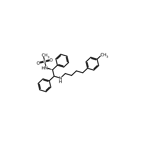 Cc1ccc(CCCCNC(c2ccccc2)[C@@H](NS(C)(=O)=O)c2ccccc2)cc1